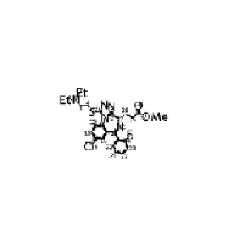 CCN(CC)CCSc1nnc2n1-c1ccc(Cl)cc1C(c1ccccc1F)=N[C@H]2CCC(=O)OC